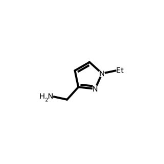 CCn1ccc(CN)n1